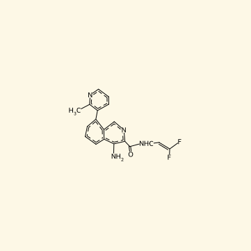 Cc1ncccc1-c1cccc2c(N)c(C(=O)NCC=C(F)F)ncc12